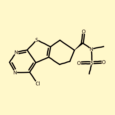 CN(C(=O)[C@H]1CCc2c(sc3ncnc(Cl)c23)C1)S(C)(=O)=O